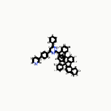 c1ccc(-c2cc(-c3ccc(-c4cccnc4)cc3)nc(-c3ccc(-c4cccc5c4C(c4ccccc4)(c4ccccc4)c4ccc6ccccc6c4-5)c4ccccc34)n2)cc1